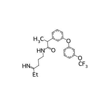 CCC(=N)CCCNC(=O)C(C)c1cccc(Oc2cccc(OC(F)(F)F)c2)c1